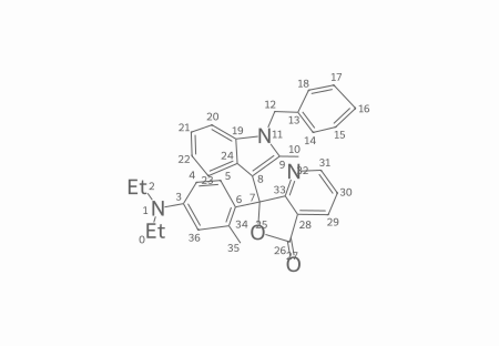 CCN(CC)c1ccc(C2(c3c(C)n(Cc4ccccc4)c4ccccc34)OC(=O)c3cccnc32)c(C)c1